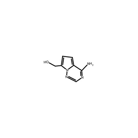 Nc1ncnn2c(CO)ccc12